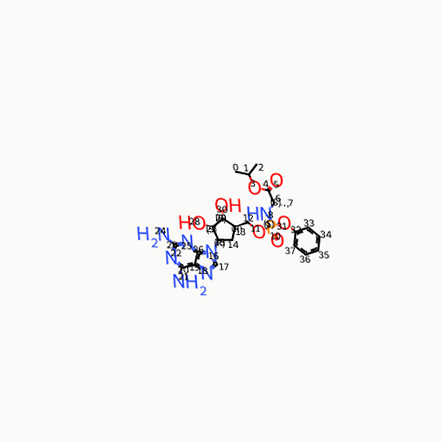 CC(C)OC(=O)[C@H](C)N[P@](=O)(OC[C@H]1C[C@@H](n2cnc3c(N)nc(N)nc32)[C@H](O)[C@@H]1O)Oc1ccccc1